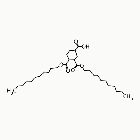 CCCCCCCCCCCOC(=O)C1CCC(C(=O)O)CC1C(=O)OCCCCCCCCCCC